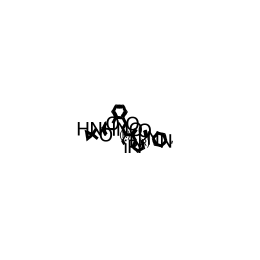 CC(C)C[C@@H](NC(=O)c1ccccc1OCC(=O)NC1(C)CC1)C(=O)N1CCC[C@@H]1C(=O)N1CCN(C)CC1